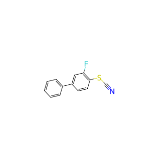 N#CSc1ccc(-c2ccccc2)cc1F